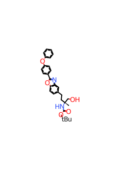 CC(C)(C)OC(=O)N[C@@](C)(CO)CCc1ccc2oc(-c3ccc(Oc4ccccc4)cc3)nc2c1